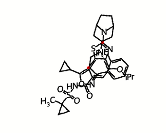 CC(C)Oc1cc(C(=O)NS(=O)(=O)C2(C)CC2)cc2sc(N3C4CCC3CC(NCc3c(-c5ccccc5C(F)(F)F)noc3C3CC3)C4)nc12